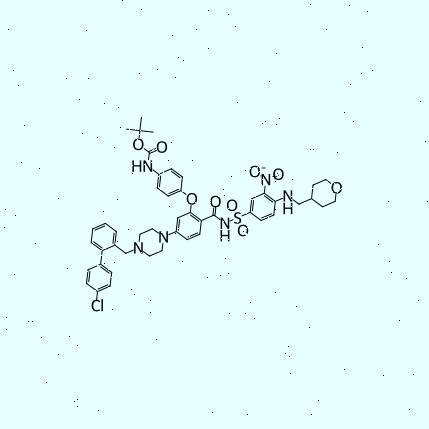 CC(C)(C)OC(=O)Nc1ccc(Oc2cc(N3CCN(Cc4ccccc4-c4ccc(Cl)cc4)CC3)ccc2C(=O)NS(=O)(=O)c2ccc(NCC3CCOCC3)c([N+](=O)[O-])c2)cc1